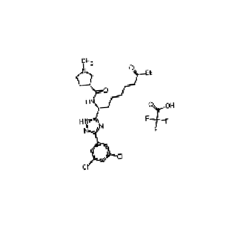 CCC(=O)CCCCC[C@H](NC(=O)[C@H]1CCN(C)C1)c1nc(-c2cc(Cl)cc(Cl)c2)n[nH]1.O=C(O)C(F)(F)F